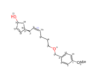 COc1ccc(COCCC/C=C\C[C@H]2C=CC(O)C2)cc1